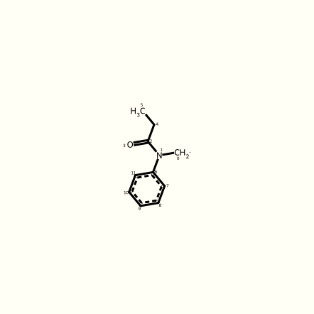 [CH2]N(C(=O)CC)c1ccccc1